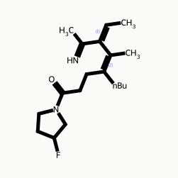 C/C=C(C(C)=N)\C(C)=C(\CCCC)CCC(=O)N1CCC(F)C1